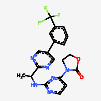 CC(Nc1nccc(N2CCOC2=O)n1)c1ncc(-c2cccc(C(F)(F)F)c2)cn1